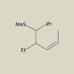 C/C=C\C(CC)C(SC)C(C)C